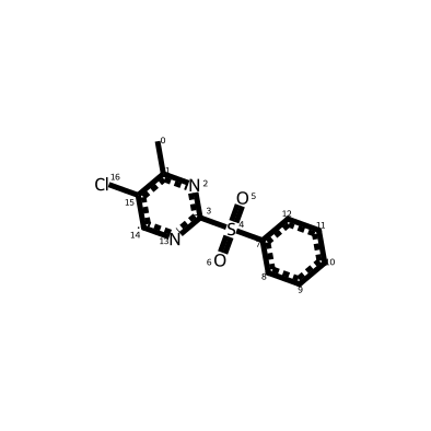 Cc1nc(S(=O)(=O)c2ccccc2)n[c]c1Cl